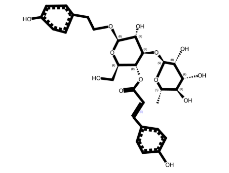 C[C@@H]1O[C@@H](O[C@@H]2[C@@H](O)[C@H](OCCc3ccc(O)cc3)O[C@H](CO)[C@H]2OC(=O)/C=C/c2ccc(O)cc2)[C@H](O)[C@H](O)[C@H]1O